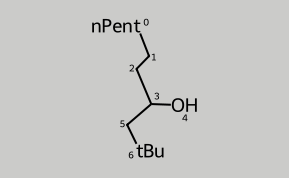 CCCCCCCC(O)CC(C)(C)C